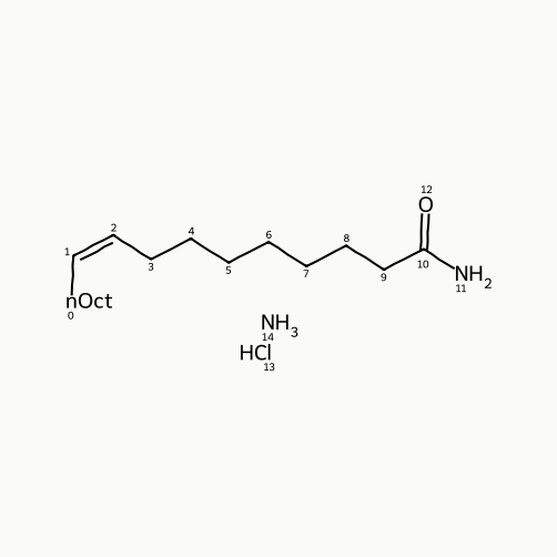 CCCCCCCC/C=C\CCCCCCCC(N)=O.Cl.N